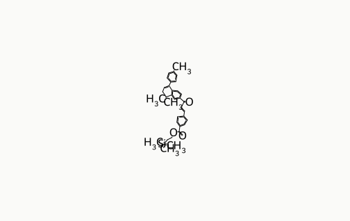 Cc1ccc(C2=CCC(C)(C)c3cc(C(=O)/C=C/c4ccc(C(=O)OCC[Si](C)(C)C)cc4)ccc32)cc1